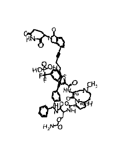 CN1CC[C@H]2CC[C@@H](C(=O)NC(COC(N)=O)C(=O)NC(c3ccccc3)c3ccc(C#CCCCCC#Cc4cccc5c4CN(C4CCC(=O)NC4=O)C5=O)cc3)N2C(=O)[C@@H](NC(=O)c2cc3cc(C(F)(F)P(=O)(O)O)ccc3s2)C1